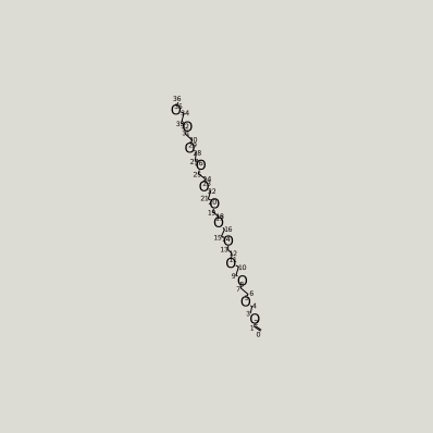 C=COCCOCCOCCOCCOCCOCCOCCOCCOCCOCCOCCOC